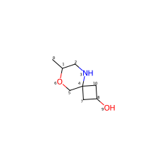 CC1CNC2(CO1)CC(O)C2